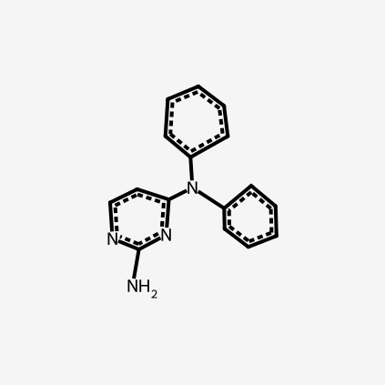 Nc1nccc(N(c2ccccc2)c2ccccc2)n1